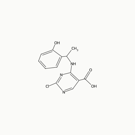 CC(Nc1nc(Cl)ncc1C(=O)O)c1ccccc1O